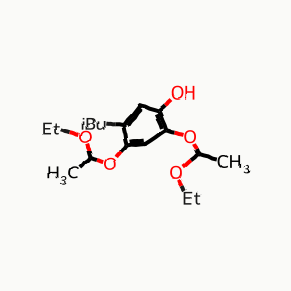 CCOC(C)Oc1cc(OC(C)OCC)c(C(C)CC)cc1O